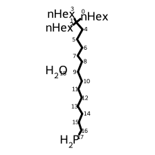 CCCCCCC(CCCCCC)(CCCCCC)CCCCCCCCCCCCCP.O